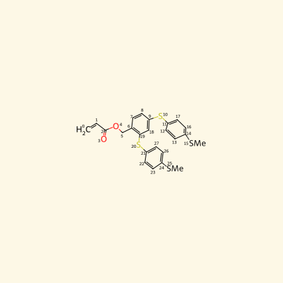 C=CC(=O)OCc1ccc(Sc2ccc(SC)cc2)cc1Sc1ccc(SC)cc1